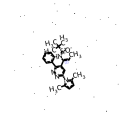 C/C=C(\N[S@+]([O-])C(C)(C)C)c1cc(-n2c(C)ccc2C)nnc1-c1ccccc1